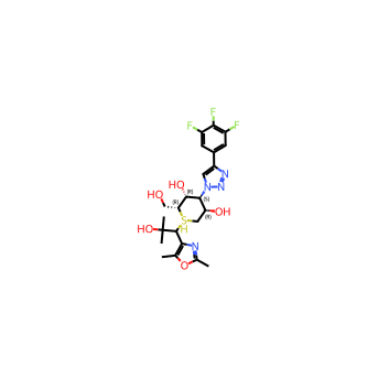 Cc1nc(C([SH]2C[C@H](O)[C@H](n3cc(-c4cc(F)c(F)c(F)c4)nn3)[C@@H](O)[C@H]2CO)C(C)(C)O)c(C)o1